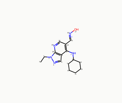 CCn1ncc2c(NC3CCCCC3)c(/C=N/O)cnc21